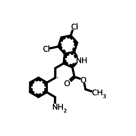 CCOC(=O)c1[nH]c2cc(Cl)cc(Cl)c2c1C[CH]c1ccccc1CN